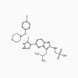 CC(C)Cn1c(NCS(=O)(=O)O)nc2ccc(-c3c[nH]nc3C[C@@H](c3ccc(F)cc3)N3CCOCC3)nc21